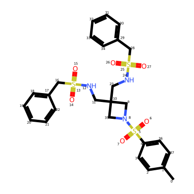 Cc1ccc(S(=O)(=O)N2CC(CNS(=O)(=O)Cc3ccccc3)(CNS(=O)(=O)Cc3ccccc3)C2)cc1